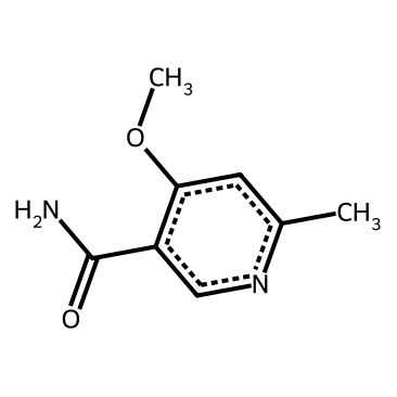 COc1cc(C)ncc1C(N)=O